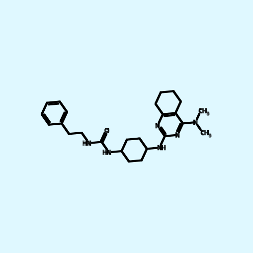 CN(C)c1nc(NC2CCC(NC(=O)NCCc3ccccc3)CC2)nc2c1CCCC2